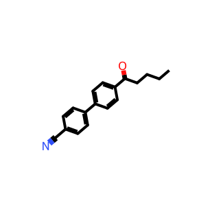 CCCCC(=O)c1ccc(-c2ccc(C#N)cc2)cc1